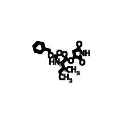 CC[C@H](C)[C@H](NC(=O)OCc1ccccc1)C(=O)OC1CC(=O)NC1=O